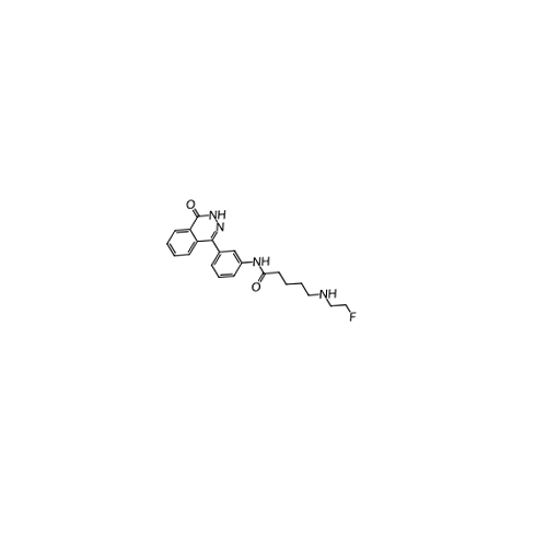 O=C(CCCCNCCF)Nc1cccc(-c2n[nH]c(=O)c3ccccc23)c1